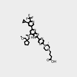 COCC1(CN(C)c2cc(-c3cnc(C(F)(F)F)c(C4CC4)c3)nc3nc(-c4cnc(N5CCN(CCCC(=O)O)C[C@H]5C)cn4)[nH]c23)CCCC1